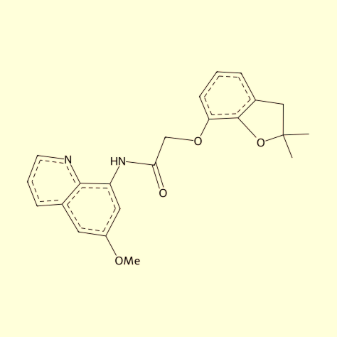 COc1cc(NC(=O)COc2cccc3c2OC(C)(C)C3)c2ncccc2c1